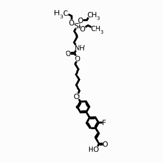 CCO[Si](CCCNC(=O)OCCCCCCOc1ccc(-c2ccc(C=CC(=O)O)c(F)c2)cc1)(OCC)OCC